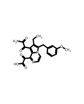 CCc1c(C(=O)C(N)=O)c2c(C(=O)C(=O)O)nccn2c1Cc1cccc(OC)c1